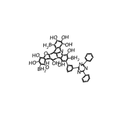 Bc1c(O)c(O)c2oc3c(c(O)c4c5c(O)c(-c6cccc(-c7nc(-c8ccccc8)nc(-c8ccccc8)n7)c6)c(B)c(O)c5n5c6c(O)c(O)c(O)c(B)c6c3c45)c2c1O